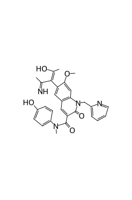 COc1cc2c(cc1/C(C(C)=N)=C(\C)O)cc(C(=O)N(C)c1ccc(O)cc1)c(=O)n2Cc1ccccn1